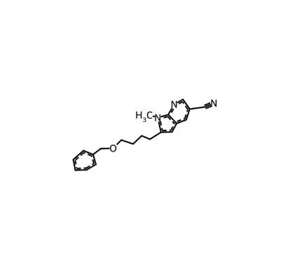 Cn1c(CCCCOCc2ccccc2)cc2cc(C#N)cnc21